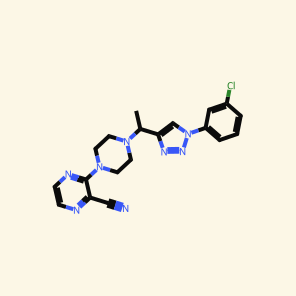 CC(c1cn(-c2cccc(Cl)c2)nn1)N1CCN(c2nccnc2C#N)CC1